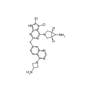 CCc1[nH]c2nc(Sc3ccc4c(N5CC(N)C5)ncnc4c3)nc(N3C[C@@H]4C(N)[C@@H]4C3)c2c1Cl